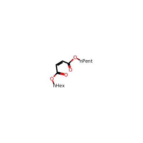 CCCCCCOC(=O)/C=C\C(=O)OCCCCC